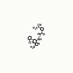 Bc1cnn2c(NCCNC(=O)c3cccc(C(C)C#N)c3)cc(-c3ccccc3Cl)nc12